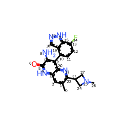 Cc1cc2[nH]c(=O)c(N)c(-c3ccc(F)c4[nH]ncc34)c2nc1C1CN(C)C1